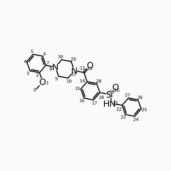 COc1ccccc1N1CCN(C(=O)c2cccc([Si](=O)Nc3ccccc3)c2)CC1